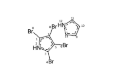 Brc1[nH]c(Br)c(Br)c1Br.c1cc[nH]c1